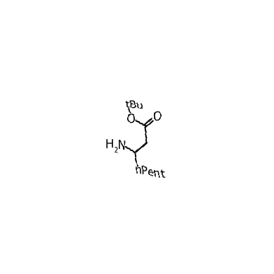 CCCCCC(N)CC(=O)OC(C)(C)C